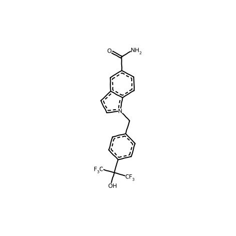 NC(=O)c1ccc2c(ccn2Cc2ccc(C(O)(C(F)(F)F)C(F)(F)F)cc2)c1